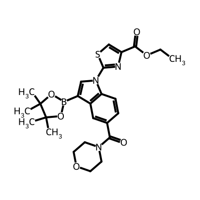 CCOC(=O)c1csc(-n2cc(B3OC(C)(C)C(C)(C)O3)c3cc(C(=O)N4CCOCC4)ccc32)n1